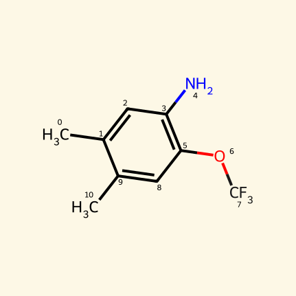 Cc1cc(N)c(OC(F)(F)F)cc1C